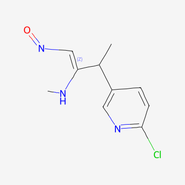 CN/C(=C\N=O)C(C)c1ccc(Cl)nc1